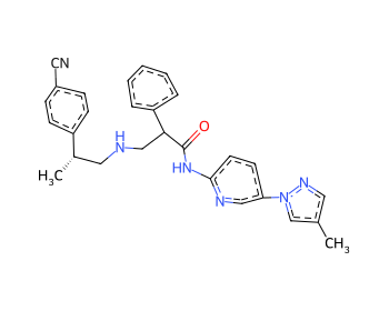 Cc1cnn(-c2ccc(NC(=O)C(CNC[C@H](C)c3ccc(C#N)cc3)c3ccccc3)nc2)c1